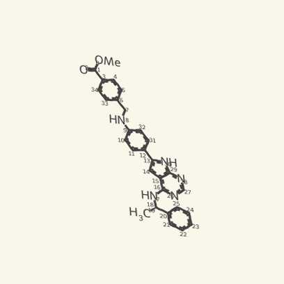 COC(=O)c1ccc(CNc2ccc(-c3cc4c(N[C@H](C)c5ccccc5)ncnc4[nH]3)cc2)cc1